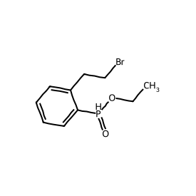 CCO[PH](=O)c1ccccc1CCBr